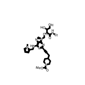 CCNC(=O)[C@@H](OCn1cnc2c(NCc3cccn3C)nc(C#CCC3CCN(C(=O)OC)CC3)nc21)C(O)CO